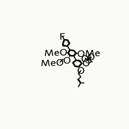 COCOc1c(OC)c(-c2ccc(F)cc2)cc(OC)c1-c1ccc(OCCC=C(C)C)c(OS(C)(=O)=O)c1